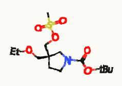 CCOC[C@]1(COS(C)(=O)=O)CCN(C(=O)OC(C)(C)C)C1